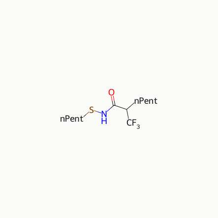 CCCCCSNC(=O)C(CCCCC)C(F)(F)F